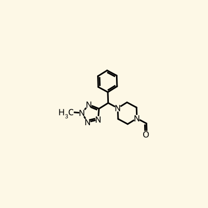 Cn1nnc(C(c2ccccc2)N2CCN(C=O)CC2)n1